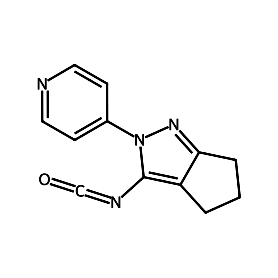 O=C=Nc1c2c(nn1-c1ccncc1)CCC2